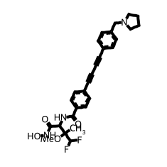 COC(C)(C(F)F)C(NC(=O)c1ccc(C#CC#Cc2ccc(CN3CCCC3)cc2)cc1)C(=O)NO